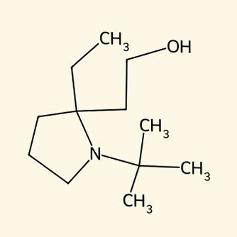 CCC1(CCO)CCCN1C(C)(C)C